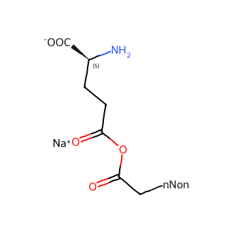 CCCCCCCCCCC(=O)OC(=O)CC[C@H](N)C(=O)[O-].[Na+]